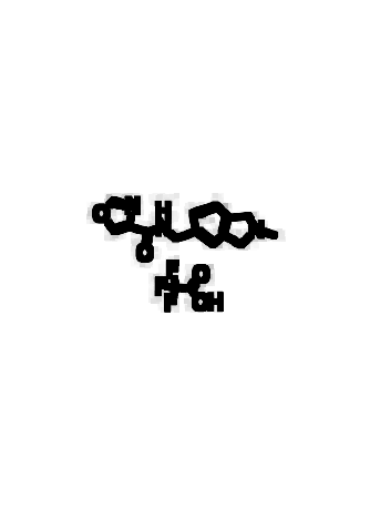 CN1Cc2ccc(CNC(=O)c3cocn3)cc2C1.O=C(O)C(F)(F)F